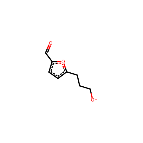 O=Cc1ccc(CCCO)o1